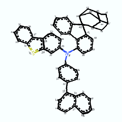 c1ccc2c(c1)-c1c(N(c3ccc(-c4cccc5ccccc45)cc3)c3ccc4c(c3)sc3ccccc34)cccc1C21C2CC3CC(C2)CC1C3